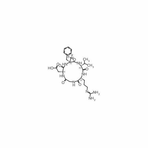 CC(C)[C@@H]1NC(=O)[C@@](Cc2ccccc2)(C(F)(F)F)NC(=O)[C@H](CC(=O)O)NC(=O)CNC(=O)[C@H](CCCN=C(N)N)NC1=O